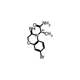 C[C@H](C(N)=O)N1C(=N)COc2cc(Br)ccc21